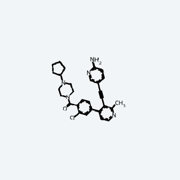 Cc1nccc(-c2ccc(C(=O)N3CCN(C4CCCC4)CC3)c(Cl)c2)c1C#Cc1ccc(N)nc1